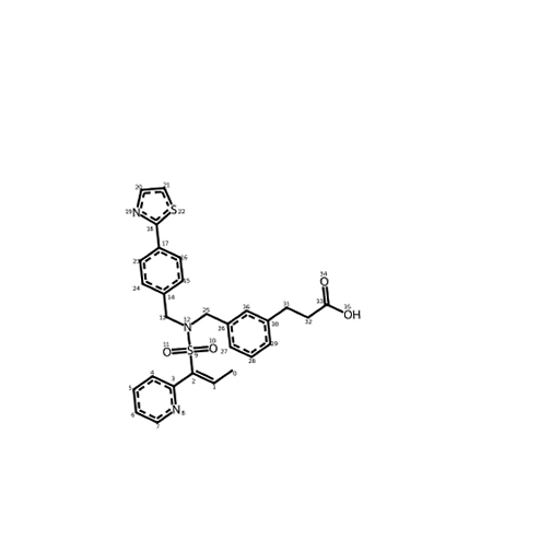 CC=C(c1ccccn1)S(=O)(=O)N(Cc1ccc(-c2nccs2)cc1)Cc1cccc(CCC(=O)O)c1